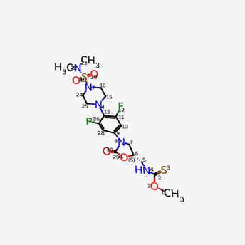 COC(=S)NC[C@H]1CN(c2cc(F)c(N3CCN(S(=O)(=O)N(C)C)CC3)c(F)c2)C(=O)O1